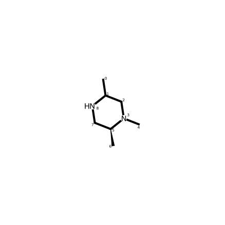 CC1CN(C)[C@@H](C)CN1